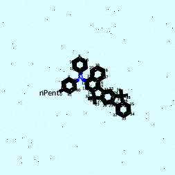 CCCCCc1ccc(N(c2ccccc2)c2cc3c(c4ccccc24)-c2cc4c(cc2C3(C)C)-c2ccccc2C4(C)C)cc1